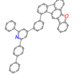 c1ccc(-c2ccc(-c3cc(-c4cccc(-c5cccc6c5-c5cc7c8ccccc8oc7c7cccc-6c57)c4)cc(-c4ccccc4)n3)cc2)cc1